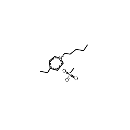 CCCCC[n+]1ccc(CC)cc1.CS(=O)(=O)[O-]